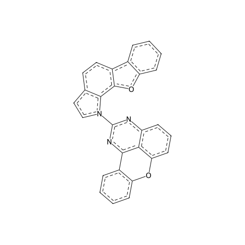 c1ccc2c(c1)Oc1cccc3nc(-n4ccc5ccc6c7ccccc7oc6c54)nc-2c13